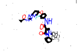 Cc1ccccc1-n1c(=O)c(C(=O)Nc2ccc(Oc3ccc4nc(NC(=O)C5CC5)cn4c3)c(F)c2)cn1C